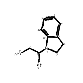 CCC(CO)N1CCc2ccccc21